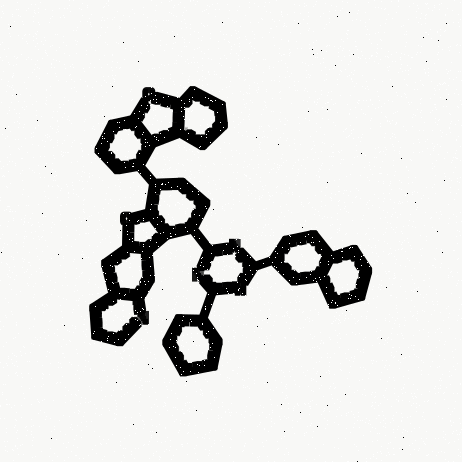 c1ccc(-c2nc(-c3ccc4ccccc4c3)nc(-c3ccc(-c4cccc5oc6ccccc6c45)c4oc5cc6cccnc6cc5c34)n2)cc1